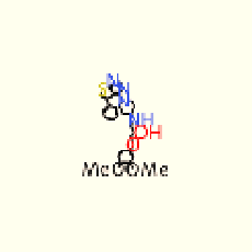 COc1ccc(OCC(O)CNC2CCN(c3ncnc4scc(-c5ccccc5)c34)CC2)cc1OC